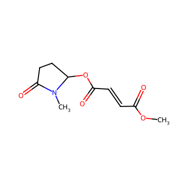 COC(=O)/C=C/C(=O)OC1CCC(=O)N1C